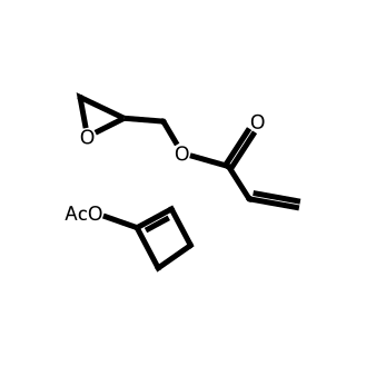 C=CC(=O)OCC1CO1.CC(=O)OC1=CCC1